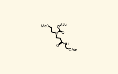 COCCN(CCC(=O)NCOC)C(=O)OC(C)(C)C